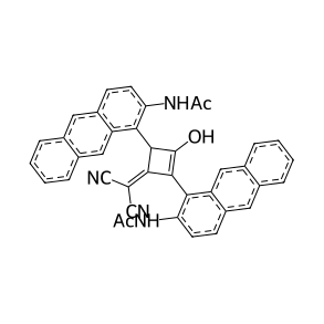 CC(=O)Nc1ccc2cc3ccccc3cc2c1C1=C(O)C(c2c(NC(C)=O)ccc3cc4ccccc4cc23)C1=C(C#N)C#N